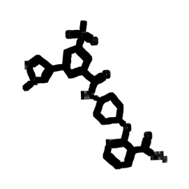 Cn1cc(-c2cc(C(=O)N[C@H]3CC[C@H](Oc4ncccc4C(N)=O)CC3)cc(S(C)(=O)=O)c2)cn1